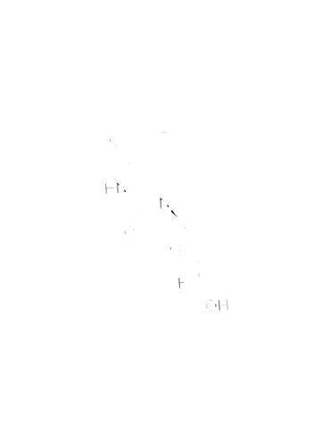 O=c1[nH]c(=S)c(F)cn1[C@H]1CC[C@@](F)(CO)O1